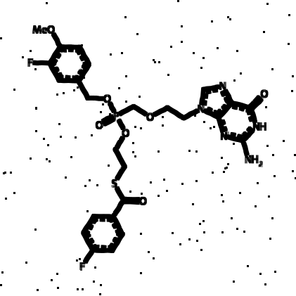 COc1ccc(COP(=O)(COCCn2cnc3c(=O)[nH]c(N)nc32)OCCSC(=O)c2ccc(F)cc2)cc1F